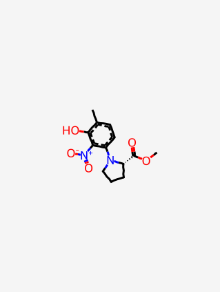 COC(=O)[C@@H]1CCCN1c1ccc(C)c(O)c1[N+](=O)[O-]